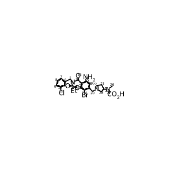 CCS(=O)(=O)N(Cc1cccc(Cl)c1)C(=O)c1cc(Br)c(CN2CCC(N(C)C(=O)O)C2)cc1N